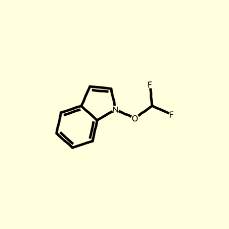 FC(F)On1ccc2ccccc21